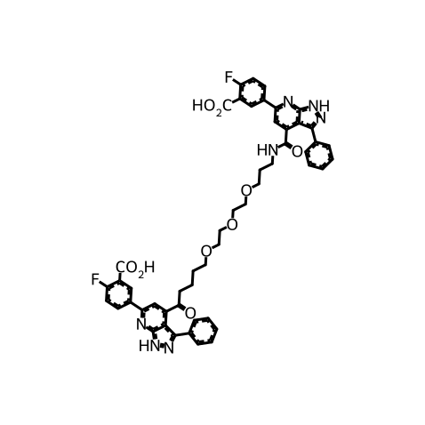 O=C(O)c1cc(-c2cc(C(=O)CCCCOCCOCCOCCCNC(=O)c3cc(-c4ccc(F)c(C(=O)O)c4)nc4[nH]nc(-c5ccccc5)c34)c3c(-c4ccccc4)n[nH]c3n2)ccc1F